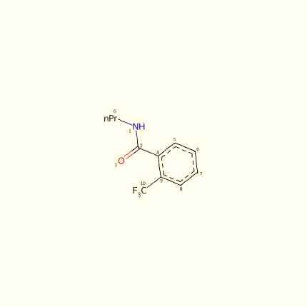 CCCNC(=O)c1ccccc1C(F)(F)F